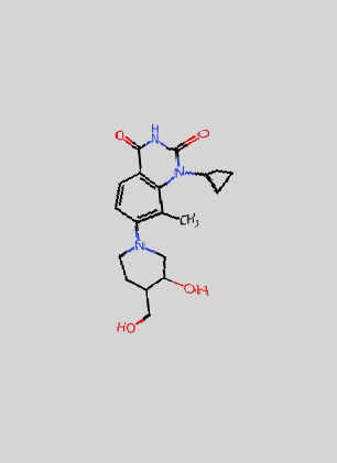 Cc1c(N2CCC(CO)C(O)C2)ccc2c(=O)[nH]c(=O)n(C3CC3)c12